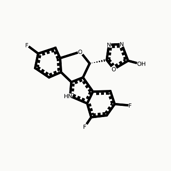 Oc1nnc([C@H]2Oc3cc(F)ccc3-c3[nH]c4c(F)cc(F)cc4c32)o1